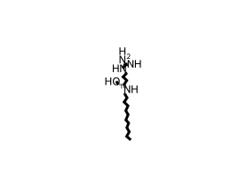 CCCCCCCCCCCCN[C@H](CO)CCCNC(=N)N